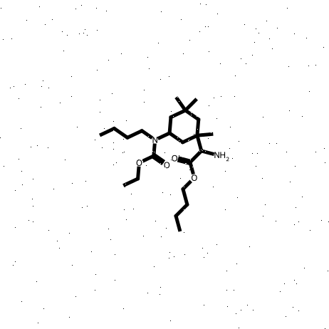 CCCCOC(=O)C(N)C1(C)CC(N(CCCC)C(=O)OCC)CC(C)(C)C1